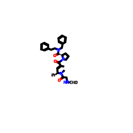 C/C(=C\[C@H](C(C)C)N(C)C(=O)CNC=O)C(=O)N1CCC[C@H]1C(=O)N(CCc1ccccc1)Cc1ccccc1